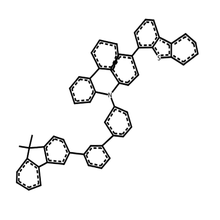 CC1(C)c2ccccc2-c2cc(-c3cccc(-c4cccc(N(c5ccc(-c6cccc7c6sc6ccccc67)cc5)c5ccccc5-c5ccccc5)c4)c3)ccc21